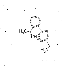 CC(C)c1ccccc1-c1ccc(CN)cc1